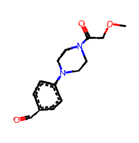 COCC(=O)N1CCN(c2ccc(C=O)cc2)CC1